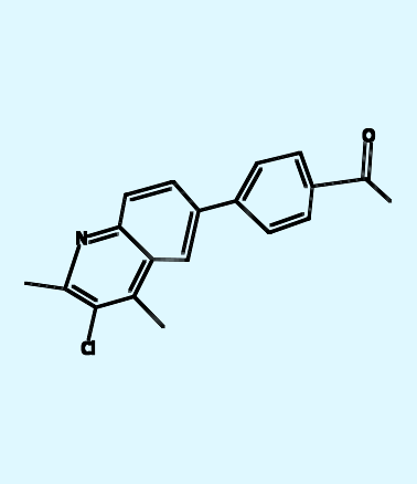 CC(=O)c1ccc(-c2ccc3nc(C)c(Cl)c(C)c3c2)cc1